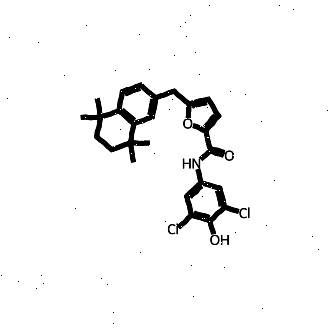 CC1(C)CCC(C)(C)c2cc(Cc3ccc(C(=O)Nc4cc(Cl)c(O)c(Cl)c4)o3)ccc21